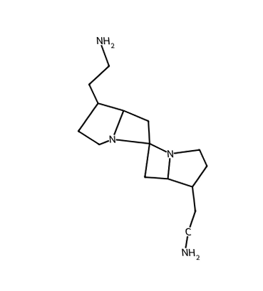 NCCC1CCN2C1CC21CC2C(CCN)CCN21